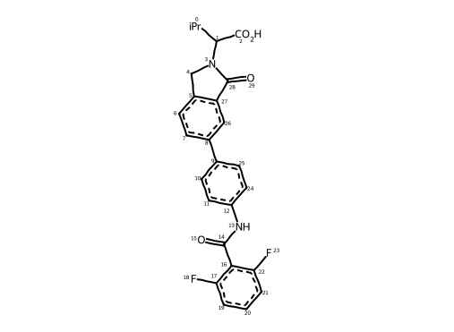 CC(C)C(C(=O)O)N1Cc2ccc(-c3ccc(NC(=O)c4c(F)cccc4F)cc3)cc2C1=O